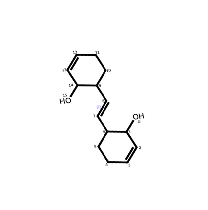 OC1C=CCCC1/C=C/C1CCC=CC1O